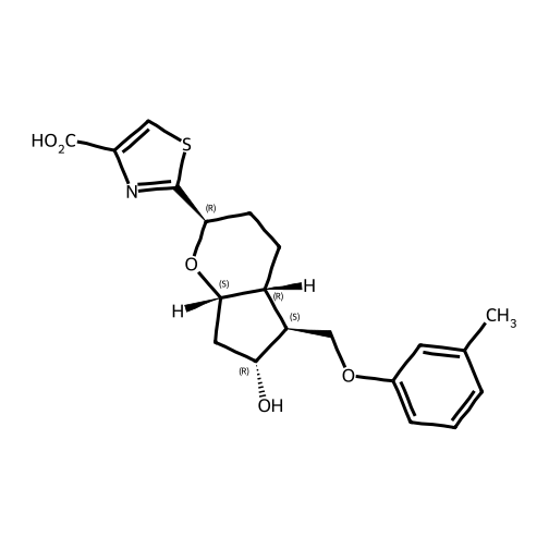 Cc1cccc(OC[C@@H]2[C@H]3CC[C@H](c4nc(C(=O)O)cs4)O[C@H]3C[C@H]2O)c1